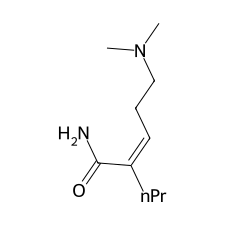 CCCC(=CCCN(C)C)C(N)=O